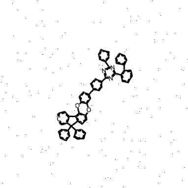 c1ccc(-c2nc(-c3ccc(-c4ccc5c(c4)Oc4ccc6c(c4O5)-c4ccccc4C6(c4ccccc4)c4ccccc4)cc3)nc(-c3ccccc3-c3ccccc3)n2)cc1